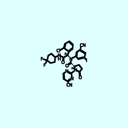 N#Cc1cc(I)cc(N(C(=O)[C@@H]2CCC(=O)N2c2nccc(C#N)n2)[C@H](C(=O)NC2CCC(F)(F)CC2)c2ccccc2Cl)c1